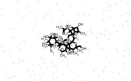 CC(=O)NC1(C)C2(C)C(OC[C@]3(C)OC(C)(CO)[C@@H](C)C(C)(O)C3(C)COC[C@]3(C)OC(C)(C)[C@@](C)(O)C(C)(O)C3(C)O)C(C)(O[C@]1(C)COC[C@@H]1C(C)(C)O[C@@H](C)C(O)C1(C)O)[C@H]2O